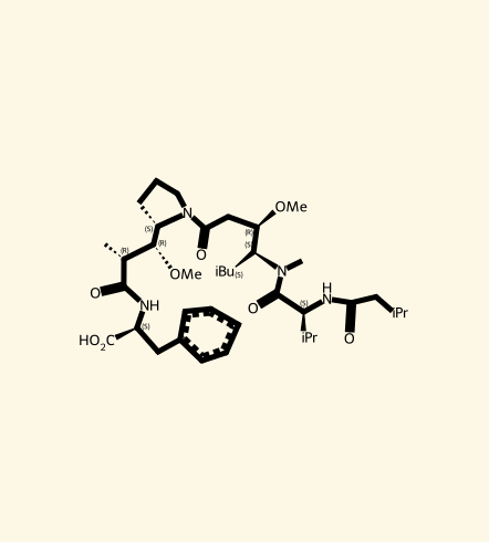 CC[C@H](C)[C@@H]([C@@H](CC(=O)N1CCC[C@H]1[C@H](OC)[C@@H](C)C(=O)N[C@@H](Cc1ccccc1)C(=O)O)OC)N(C)C(=O)[C@@H](NC(=O)CC(C)C)C(C)C